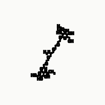 CC(=O)NC1C(O)[C@@H](O)C(CO)O[C@H]1OCCOCCOCC(N)COCCOCCO[C@@H]1OC(CO)[C@H](O)C(O)C1NC(C)=O